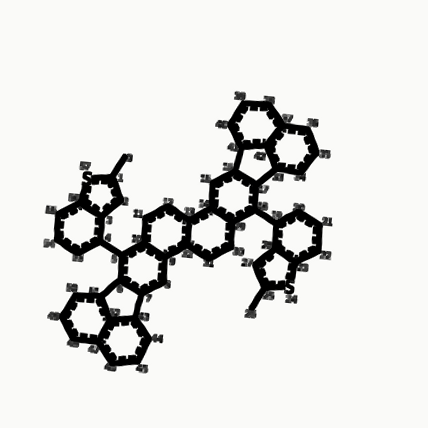 Cc1cc2c(-c3c4c(cc5c3ccc3c6cc7c(c(-c8cccc9sc(C)cc89)c6ccc53)-c3cccc5cccc-7c35)-c3cccc5cccc-4c35)cccc2s1